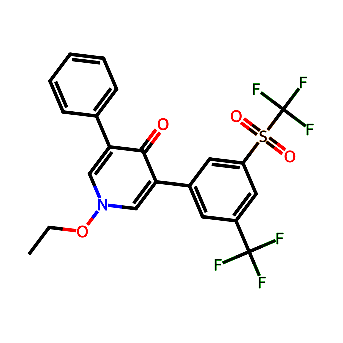 CCOn1cc(-c2ccccc2)c(=O)c(-c2cc(C(F)(F)F)cc(S(=O)(=O)C(F)(F)F)c2)c1